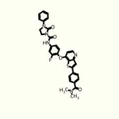 CN(C)C(=O)c1ccc(-c2cc3nccc(Oc4ccc(NC(=O)N5CCN(c6ccccc6)C5=O)cc4F)c3s2)cc1